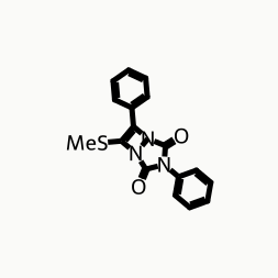 CSc1c(-c2ccccc2)n2c(=O)n(-c3ccccc3)c(=O)n12